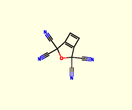 N#CC1(C#N)OC(C#N)(C#N)C2=C1C=C2